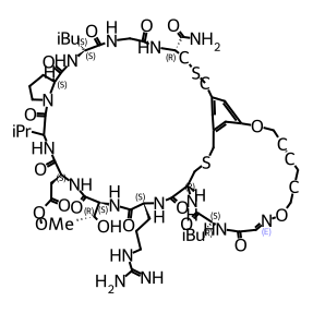 CC[C@@H](C)[C@@H]1NC(=O)/C=N/OCCCCCCOc2cc3cc(c2)CSC[C@H](NC1=O)C(=O)N[C@@H](CCCNC(=N)N)C(=O)N[C@@H]([C@@H](C)O)C(=O)N[C@@H](CC(=O)OOC)C(=O)NC(C(C)C)C(=O)N1CCC[C@H]1C(=O)N[C@@H]([C@@H](C)CC)C(=O)NCC(=O)N[C@H](C(N)=O)CSC3